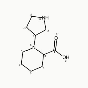 O=C(O)C1CCCCN1C1CCNC1